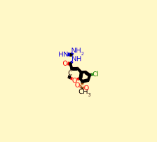 CS(=O)(=O)c1cc(Cl)cc2c1OCCC(C(=O)NC(=N)N)=C2